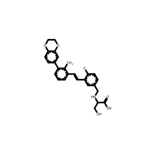 Cc1c(/C=C/c2cc(CNC(CO)C(=O)O)ccc2F)cccc1-c1ccc2c(c1)OCCO2